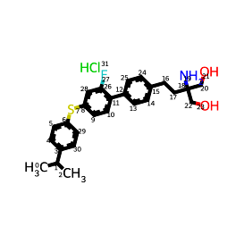 CC(C)c1ccc(Sc2ccc(-c3ccc(CCC(N)(CO)CO)cc3)c(F)c2)cc1.Cl